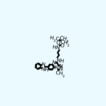 Cc1nnc2c(NCCCCNC(=O)OC(C)(C)C)nc3cc(-c4nc5ccccc5[nH]4)ccc3n12